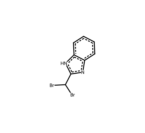 BrC(Br)c1nc2ccccc2[nH]1